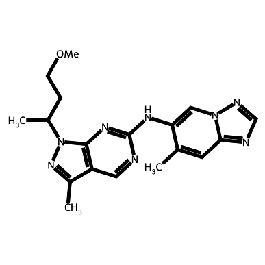 COCCC(C)n1nc(C)c2cnc(Nc3cn4ncnc4cc3C)nc21